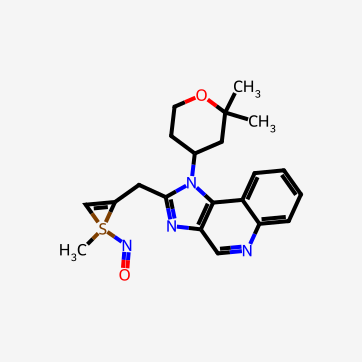 CC1(C)CC(n2c(CC3=CS3(C)N=O)nc3cnc4ccccc4c32)CCO1